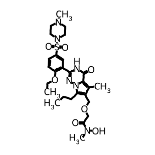 CCCc1c(COCC(=O)N(C)O)c(C)c2c(=O)[nH]c(-c3cc(S(=O)(=O)N4CCN(C)CC4)ccc3OCC)nn12